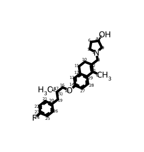 CC1=C(CN2CC[C@@H](O)C2)CCc2cc(OC[C@@H](C)Cc3ccc(F)cc3)ccc21